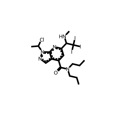 CCCN(CCC)C(=O)c1cc(C(NC)C(I)(I)I)nc2c1cnn2C(C)Cl